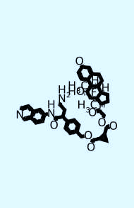 C[C@]12C[C@H](O)[C@@]3(F)[C@@H](CCC4=CC(=O)C=C[C@@]43C)[C@@H]1CC[C@@H]2C(=O)COC(=O)C1CC1C(=O)OCc1ccc(C(CCN)C(=O)Nc2ccc3cnccc3c2)cc1